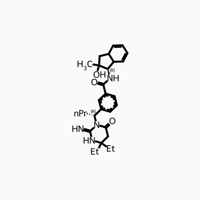 CCC[C@H](c1cccc(C(=O)N[C@@H]2C3C=CC=CC3CC2(C)O)c1)N1C(=N)NC(CC)(CC)CC1=O